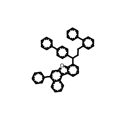 c1ccc(-c2ccc(C(CCc3ccccc3-c3ccccc3)c3cccc4c3oc3cc(-c5ccccc5)c5ccccc5c34)cc2)cc1